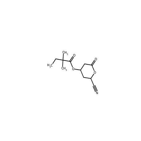 CCC(C)(C)C(=O)OC1CC(=O)OC(C#N)C1